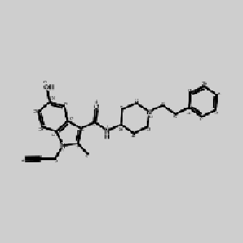 C#CCn1c(C)c(C(=O)NC2CCN(CCc3ccccc3)CC2)c2cc(O)ccc21